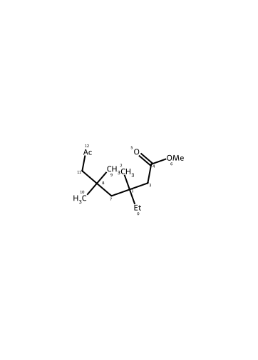 CCC(C)(CC(=O)OC)CC(C)(C)CC(C)=O